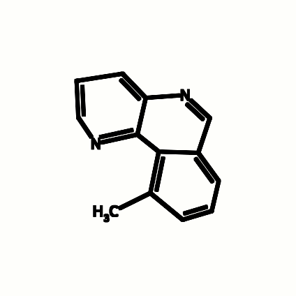 Cc1cccc2cnc3cccnc3c12